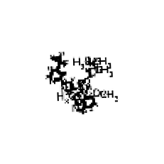 COc1ccc2cnn(C)c2c1N(COCC[Si](C)(C)C)S(=O)(=O)c1cnn(-c2cc(C3(F)CC3)ccn2)c1